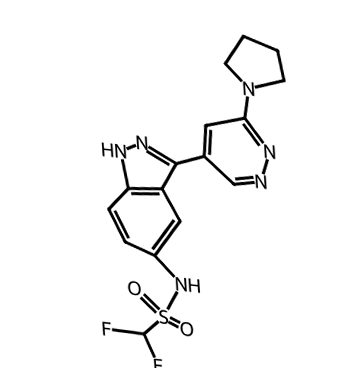 O=S(=O)(Nc1ccc2[nH]nc(-c3cnnc(N4CCCC4)c3)c2c1)C(F)F